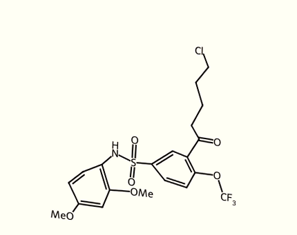 COc1ccc(NS(=O)(=O)c2ccc(OC(F)(F)F)c(C(=O)CCCCCl)c2)c(OC)c1